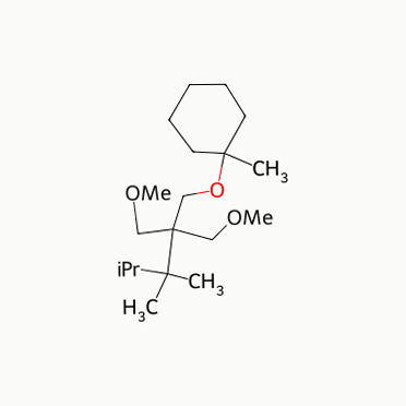 COCC(COC)(COC1(C)CCCCC1)C(C)(C)C(C)C